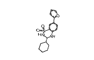 O=S1(=O)NC(C2CCCCC2)Nc2ccc(-c3ccco3)cc21